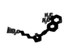 CCOC(=O)CCCCc1ccc(C#Cc2ccc3c(c2)C(C)(C)CCS3)s1